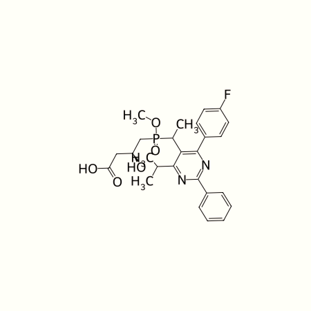 COP(=O)(C[C@@H](O)CC(=O)O)C(C)c1c(-c2ccc(F)cc2)nc(-c2ccccc2)nc1C(C)C